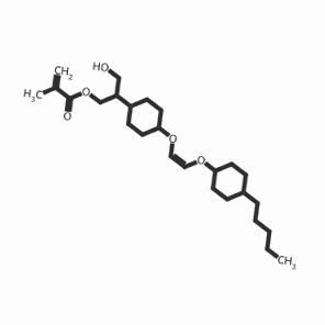 C=C(C)C(=O)OCC(CO)C1CCC(O/C=C\OC2CCC(CCCCC)CC2)CC1